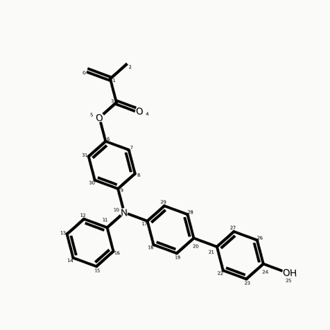 C=C(C)C(=O)Oc1ccc(N(c2ccccc2)c2ccc(-c3ccc(O)cc3)cc2)cc1